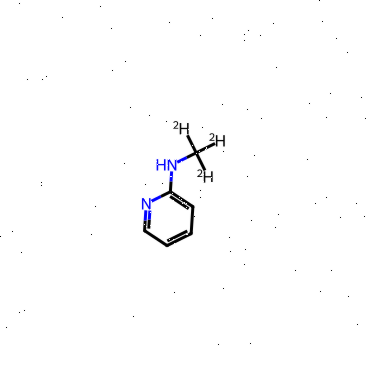 [2H]C([2H])([2H])Nc1ccccn1